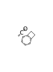 C=C=O.c1ccc2c(c1)CC2